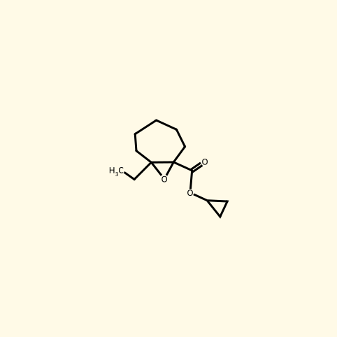 CCC12CCCCCC1(C(=O)OC1CC1)O2